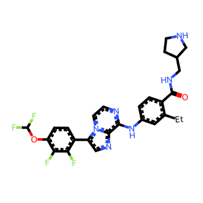 CCc1cc(Nc2nccn3c(-c4ccc(OC(F)F)c(F)c4F)cnc23)ccc1C(=O)NCC1CCNC1